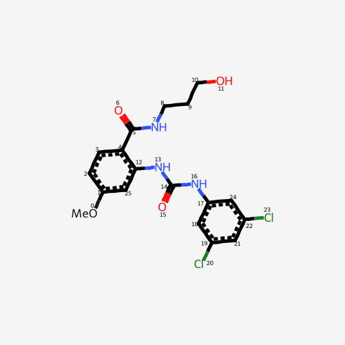 COc1ccc(C(=O)NCCCO)c(NC(=O)Nc2cc(Cl)cc(Cl)c2)c1